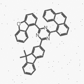 CC1(C)c2ccccc2-c2ccc(-c3nc(-c4cccc5ccc6ccccc6c45)nc(-c4cccc5oc6ccccc6c45)n3)cc21